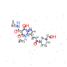 CC(C)Cn1c(=O)c(C(=O)NC2CC2)c(O)n2ncc(/C=C/C(=O)N3CCCC(CO)C3)c12